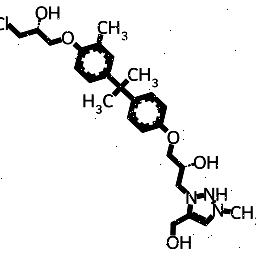 Cc1cc(C(C)(C)c2ccc(OC[C@H](O)CN3NN(C)C=C3CO)cc2)ccc1OC[C@@H](O)CCl